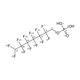 O=P(O)(O)OCC(F)(F)C(F)(F)C(F)(F)C(F)(F)C(F)(F)C(F)F